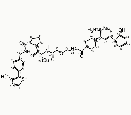 Cc1ncsc1-c1ccc(CNC(=O)[C@@H]2CCCN2C(=O)[C@@H](NC(=O)COCCNC(=O)C2CCN(c3cc(-c4ccccc4O)nnc3N)CC2)C(C)(C)C)cc1